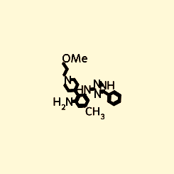 COCCCN1CCC(c2c(N)cc(C)cc2Nc2n[nH]c(-c3ccccc3)n2)CC1